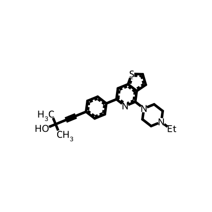 CCN1CCN(c2nc(-c3ccc(C#CC(C)(C)O)cc3)cc3sccc23)CC1